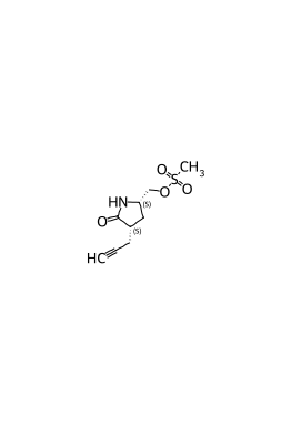 C#CC[C@H]1C[C@@H](COS(C)(=O)=O)NC1=O